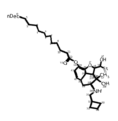 CCCCCCCCCCCCCCCCCCCCCC(=O)OC1=C2OC(C(O)CC)C3(CC)C2C(C=C1)CC(NCC1CCC1)C3(C)O